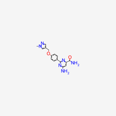 Cn1cc(COc2ccc(-c3nc(N)cc(C(N)=O)n3)cc2)cn1